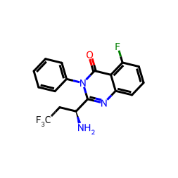 N[C@@H](CC(F)(F)F)c1nc2cccc(F)c2c(=O)n1-c1ccccc1